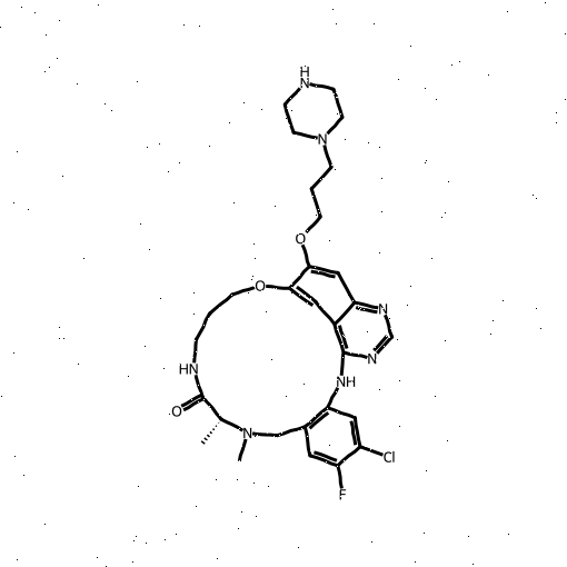 C[C@@H]1C(=O)NCCCOc2cc3c(ncnc3cc2OCCCN2CCNCC2)Nc2cc(Cl)c(F)cc2CN1C